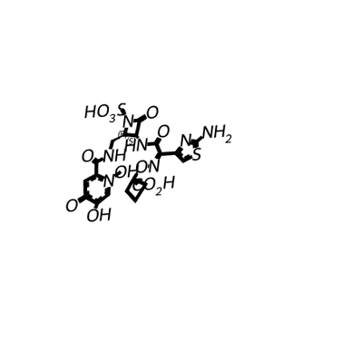 Nc1nc(C(=NOC2(C(=O)O)CCC2)C(=O)N[C@@H]2C(=O)N(S(=O)(=O)O)[C@@H]2CNC(=O)c2cc(=O)c(O)cn2O)cs1